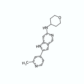 Cc1cc(-c2cc3cnc(NC4CCOCC4)cc3[nH]2)ccn1